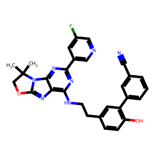 CC1(C)COc2nc3c(NCCc4ccc(O)c(-c5cccc(C#N)c5)c4)nc(-c4cncc(F)c4)nc3n21